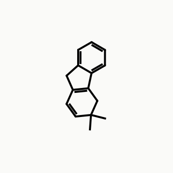 CC1(C)C=CC2=C(C1)c1ccccc1C2